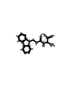 CC(NC(=O)OCC1c2ccccc2-c2ccccc21)C(=O)F